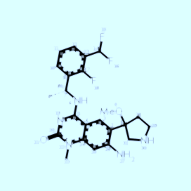 COC1(c2cc3c(N[C@H](C)c4cccc(C(F)F)c4F)nc(=O)n(C)c3cc2N)CCNC1